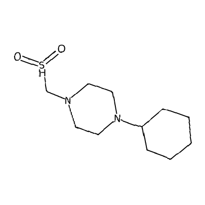 O=[SH](=O)CN1CCN(C2CCCCC2)CC1